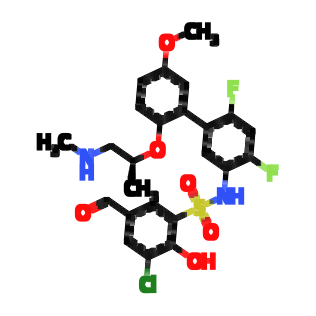 CNC[C@H](C)Oc1ccc(OC)cc1-c1cc(NS(=O)(=O)c2cc(C=O)cc(Cl)c2O)c(F)cc1F